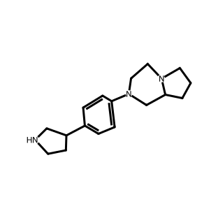 c1cc(N2CCN3CCCC3C2)ccc1C1CCNC1